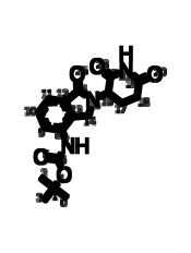 CC(C)(C)OC(=O)Nc1cccc2c1CN(C1CCC(=O)NC1=O)C2=O